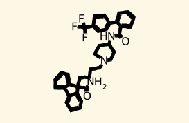 NC(=O)C1(CCCCN2CCC(NC(=O)c3ccccc3-c3ccc(C(F)(F)F)cc3)CC2)c2ccccc2-c2ccccc21